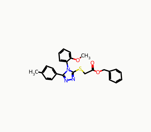 COc1ccccc1-n1c(SCC(=O)OCc2ccccc2)nnc1-c1ccc(C)cc1